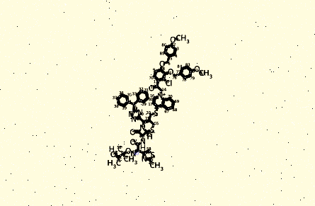 COc1ccc(COc2ccc(C(=O)C[n+]3ccc(SCC4=C(c5nnn(C(c6ccccc6)c6ccccc6)n5)N5C(=O)[C@@H](NC(=O)/C(=N\OC(C)(C)C(C)=O)c6csc(C)n6)[C@H]5SC4)c4ccccc43)c(Cl)c2OCc2ccc(OC)cc2)cc1